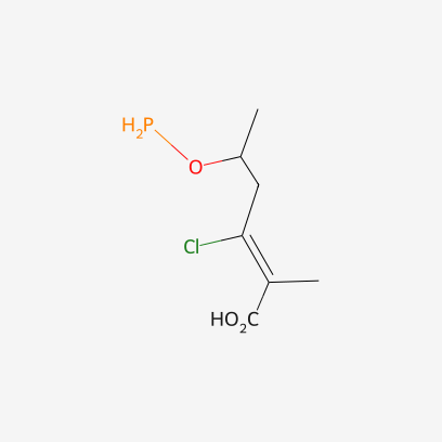 CC(C(=O)O)=C(Cl)CC(C)OP